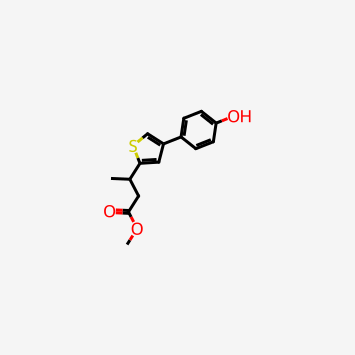 COC(=O)CC(C)c1cc(-c2ccc(O)cc2)cs1